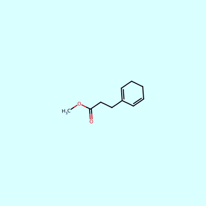 COC(=O)CCC1=CCCC=C1